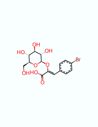 O=C(O)C(=Cc1ccc(Br)cc1)O[C@H]1O[C@@H](CO)[C@H](O)[C@@H](O)[C@@H]1O